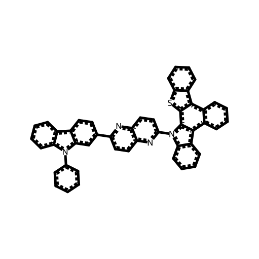 c1ccc(-n2c3ccccc3c3ccc(-c4ccc5nc(-n6c7ccccc7c7c8ccccc8c8c9ccccc9sc8c76)ccc5n4)cc32)cc1